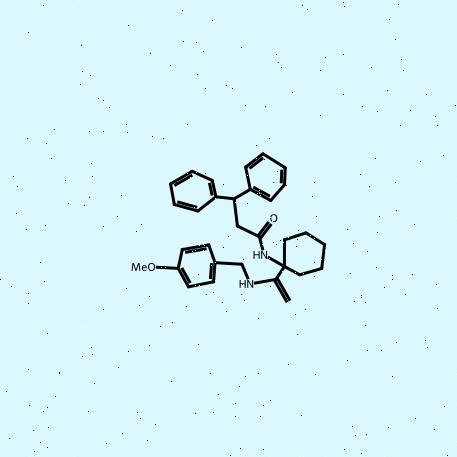 C=C(NCc1ccc(OC)cc1)C1(NC(=O)CC(c2ccccc2)c2ccccc2)CCCCC1